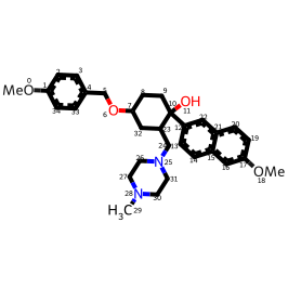 COc1ccc(COC2CCC(O)(c3ccc4cc(OC)ccc4c3)C(CN3CCN(C)CC3)C2)cc1